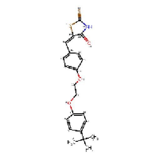 CC(C)(C)c1ccc(OCCOc2ccc(C=C3SC(=S)NC3=O)cc2)cc1